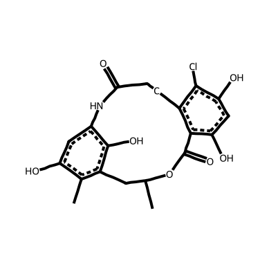 Cc1c(O)cc2c(O)c1CC(C)OC(=O)c1c(O)cc(O)c(Cl)c1CCC(=O)N2